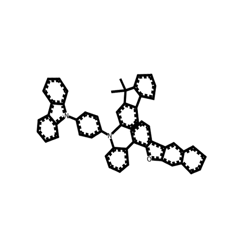 CC1(C)c2ccccc2-c2ccc(N(c3ccc(-n4c5ccccc5c5ccccc54)cc3)c3ccccc3-c3cccc4c3oc3cc5ccccc5cc34)cc21